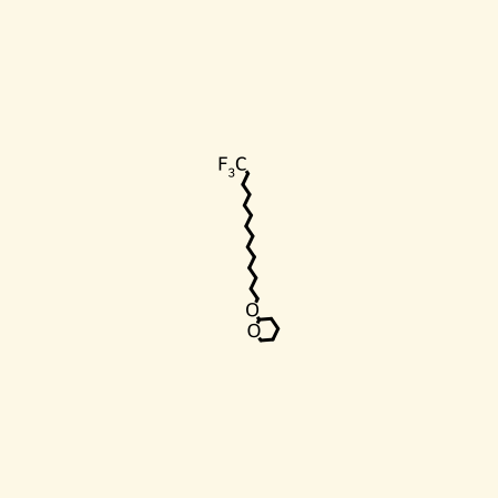 FC(F)(F)CCCCCCCCCCCCCOC1CCCCO1